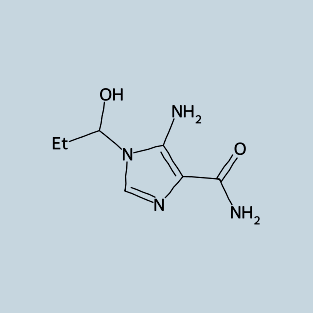 CCC(O)n1cnc(C(N)=O)c1N